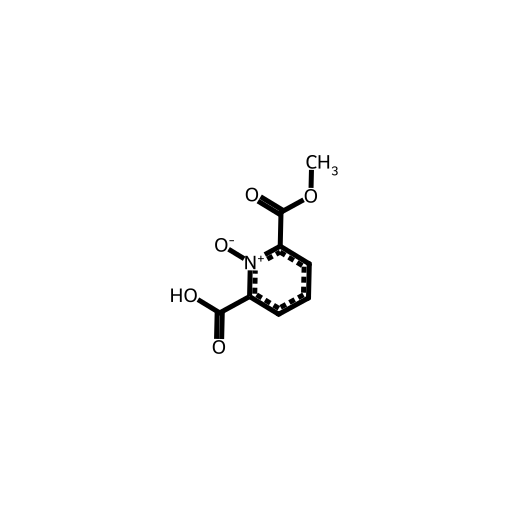 COC(=O)c1cccc(C(=O)O)[n+]1[O-]